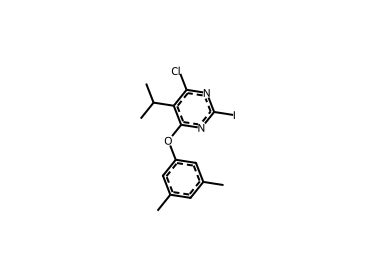 Cc1cc(C)cc(Oc2nc(I)nc(Cl)c2C(C)C)c1